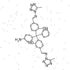 Cc1nnnn1N=Cc1ccc(C(c2ccccc2)(c2ccc(N)cc2)c2ccc(C=Nn3nnnc3C)cc2O)c(O)c1